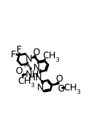 COC(=O)c1ccnc(Nc2ccc(C)c(C(=O)N3CC(F)(F)CC[C@@H]3CNC(C)=O)n2)c1